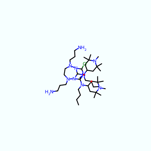 CCCCN(C1=NC(Cl)N2C(N(CCCC)C3CC(C)(C)N(C)C(C)(C)C3)N1N(CCCN)CCN2CCCN)C1CC(C)(C)N(C)C(C)(C)C1